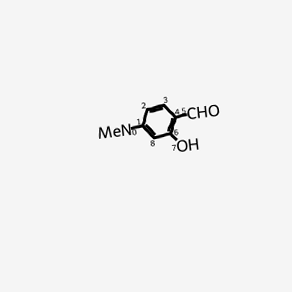 CNc1ccc(C=O)c(O)c1